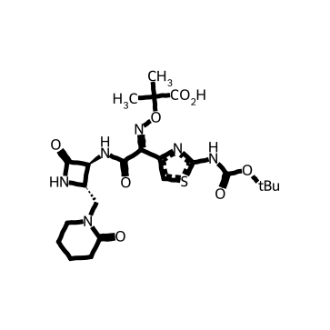 CC(C)(C)OC(=O)Nc1nc(C(=NOC(C)(C)C(=O)O)C(=O)N[C@@H]2C(=O)N[C@H]2CN2CCCCC2=O)cs1